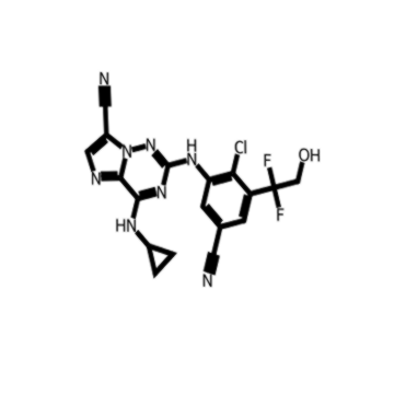 N#Cc1cc(Nc2nc(NC3CC3)c3ncc(C#N)n3n2)c(Cl)c(C(F)(F)CO)c1